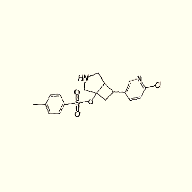 Cc1ccc(S(=O)(=O)OC23CNCC2C(c2ccc(Cl)nc2)C3)cc1